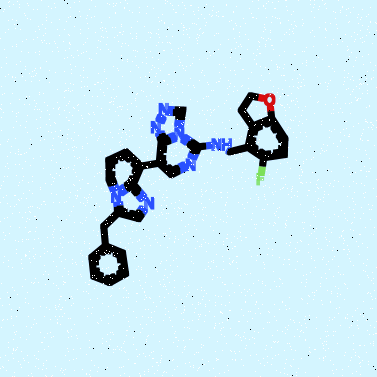 Fc1ccc2c(c1CNc1ncc(-c3cccn4c(Cc5ccccc5)cnc34)c3nncn13)CCO2